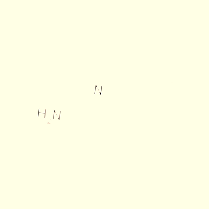 Cc1cccc(CC(C)N)n1